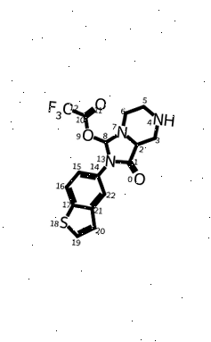 O=C1C2CNCCN2C(OC(=O)C(F)(F)F)N1c1ccc2sccc2c1